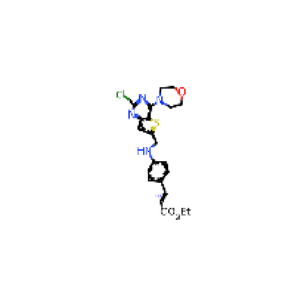 CCOC(=O)/C=C/c1ccc(NCc2cc3nc(Cl)nc(N4CCOCC4)c3s2)cc1